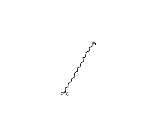 CC(C)CCCCCCCCCCCCCCCCCCC(=O)Cl